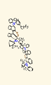 Cc1cccc(N(c2ccccc2C)c2cc3sc4cc(N(c5cccc(C)c5)c5cc(-c6ccc(C)c(N(c7ccccc7C)c7cc8sc9cc(N(c%10ccccc%10C)c%10ccccc%10C)c%10ccccc%10c9c8c8ccccc78)c6)ccc5C)c5ccccc5c4c3c3ccccc23)c1